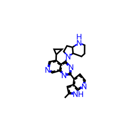 Cc1cc2c(-c3nc(N4CCC5NCCCC54)c4c(C5CC5)cncc4n3)ccnc2[nH]1